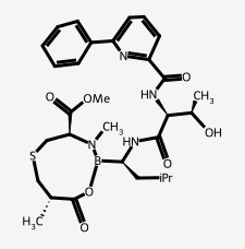 COC(=O)[C@@H]1CSC[C@@H](C)C(=O)OB([C@H](CC(C)C)NC(=O)[C@@H](NC(=O)c2cccc(-c3ccccc3)n2)[C@@H](C)O)N1C